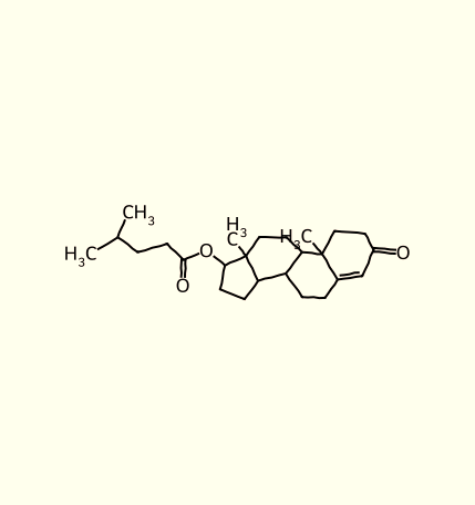 CC(C)CCC(=O)OC1CCC2C3CCC4=CC(=O)CCC4(C)C3CCC12C